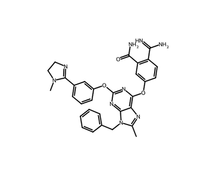 Cc1nc2c(Oc3ccc(C(=N)N)c(C(N)=O)c3)nc(Oc3cccc(C4=NCCN4C)c3)nc2n1Cc1ccccc1